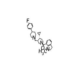 CN1CCc2cccc(C(=O)N3C[C@@H](CN4CCC(c5ccc(F)cc5)CC4)[C@H](C4CC4)C3)c21